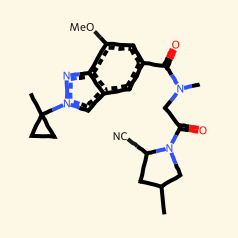 COc1cc(C(=O)N(C)CC(=O)N2CC(C)CC2C#N)cc2cn(C3(C)CC3)nc12